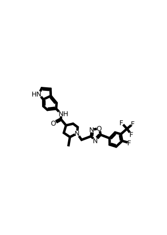 CC1CC(C(=O)Nc2ccc3[nH]ccc3c2)CCN1Cc1noc(-c2ccc(F)c(C(F)(F)F)c2)n1